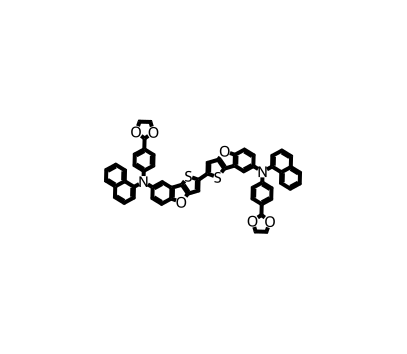 c1ccc2c(N(c3ccc(C4OCCO4)cc3)c3ccc4oc5cc(-c6cc7oc8ccc(N(c9ccc(C%10OCCO%10)cc9)c9cccc%10ccccc9%10)cc8c7s6)sc5c4c3)cccc2c1